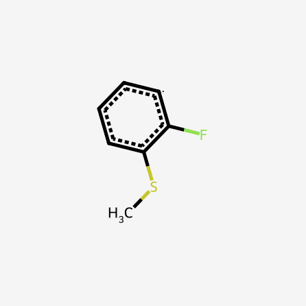 CSc1ccc[c]c1F